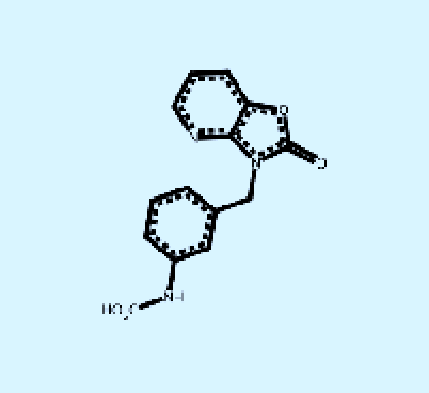 O=C(O)Nc1cccc(Cn2c(=O)oc3cccnc32)c1